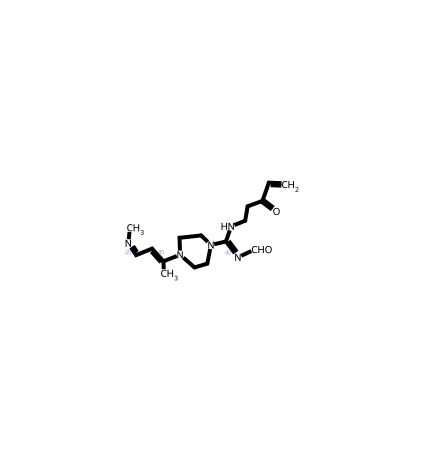 C=CC(=O)CCN/C(=N\C=O)N1CCN(/C(C)=C/C=N\C)CC1